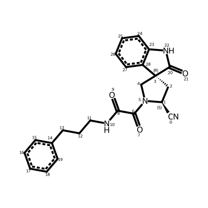 N#C[C@@H]1C[C@@]2(CN1C(=O)C(=O)NCCCc1ccccc1)C(=O)Nc1ccccc12